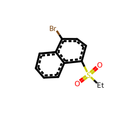 CCS(=O)(=O)c1ccc(Br)c2ccccc12